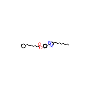 CCCCCCCCc1cnc(-c2ccc(OC(=O)CCCCCCC3CCCCC3)cc2)nc1